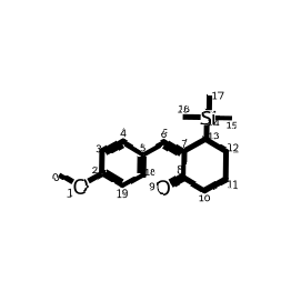 COc1ccc(C=C2C(=O)CCCC2[Si](C)(C)C)cc1